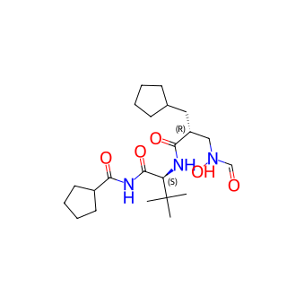 CC(C)(C)[C@H](NC(=O)[C@H](CC1CCCC1)CN(O)C=O)C(=O)NC(=O)C1CCCC1